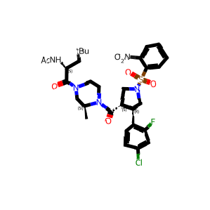 CC(=O)N[C@@H](CC(C)(C)C)C(=O)N1CCN(C(=O)[C@@H]2CN(S(=O)(=O)c3ccccc3[N+](=O)[O-])C[C@H]2c2ccc(Cl)cc2F)[C@@H](C)C1